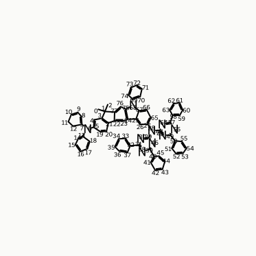 CC1(C)c2cc(N(C3=CC=CCC3)c3ccccc3)ccc2-c2cc3c4cc(N(c5nc(-c6ccccc6)nc(-c6ccccc6)n5)c5nc(-c6ccccc6)nc(-c6ccccc6)n5)ccc4n(-c4ccccc4)c3cc21